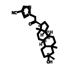 CC12CC[C@@H]3[C@H](CCC4(C)[C@@H](C(=O)Cn5cc(C#N)cn5)CC[C@@H]34)C1CC[C@@](C)(O)C2